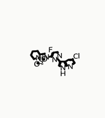 CS(=O)(=O)N1CCCCC1CNc1nc(-c2c[nH]c3ncc(Cl)cc23)ncc1F